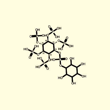 O=P(O)(O)O[C@@H]1[C@@H](OP(=O)(O)O)[C@H](OP(=O)(O)O)[C@@H](OP(=O)(O)OC2C(O)C(O)C(O)C(O)C2O)[C@@H](OP(=O)(O)O)[C@H]1OP(=O)(O)O